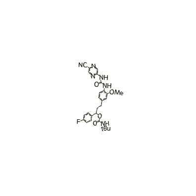 COc1cc(CCC(OC(=O)NC(C)(C)C)c2ccc(F)cc2)ccc1NC(=O)Nc1cnc(C#N)cn1